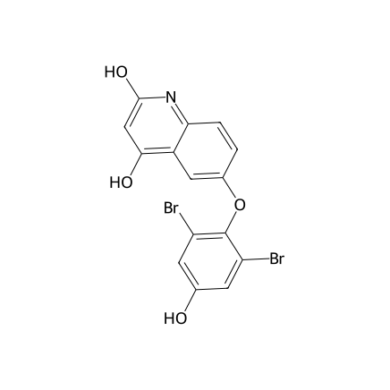 Oc1cc(Br)c(Oc2ccc3nc(O)cc(O)c3c2)c(Br)c1